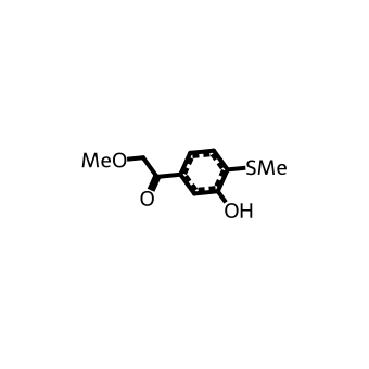 COCC(=O)c1ccc(SC)c(O)c1